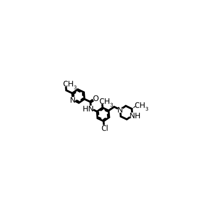 CCc1ccc(C(=O)Nc2cc(Cl)cc(CN3CCN[C@@H](C)C3)c2C)cn1